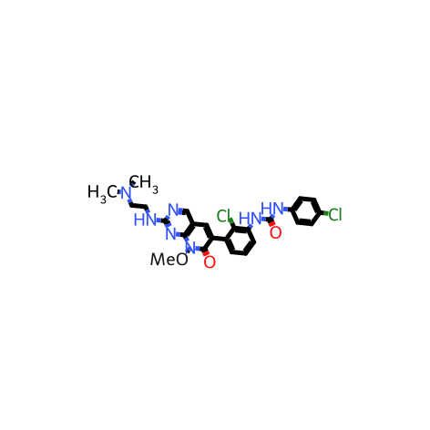 COn1c(=O)c(-c2cccc(NC(=O)Nc3ccc(Cl)cc3)c2Cl)cc2cnc(NCCN(C)C)nc21